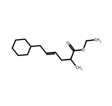 CCOC(=O)C(C)C/C=C/CC1CCCCC1